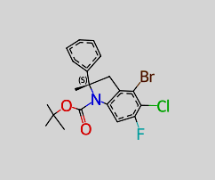 CC(C)(C)OC(=O)N1c2cc(F)c(Cl)c(Br)c2C[C@@]1(C)c1ccccc1